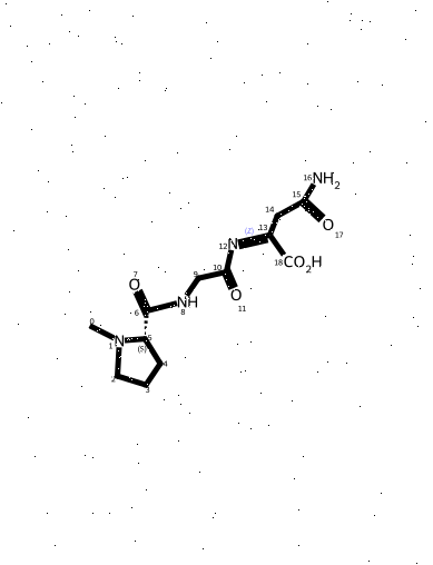 CN1CCC[C@H]1C(=O)NCC(=O)/N=C(/CC(N)=O)C(=O)O